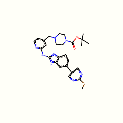 CSc1ncc(-c2ccc3nc(Nc4cc(CN5CCN(C(=O)OC(C)(C)C)CC5)ccn4)[nH]c3c2)cn1